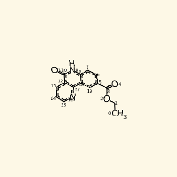 CCOC(=O)c1ccc2[nH]c(=O)c3cccnc3c2c1